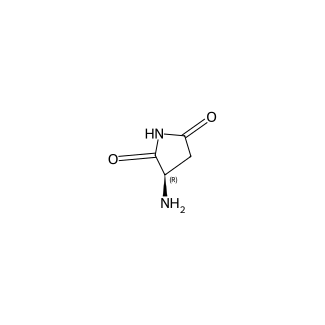 N[C@@H]1CC(=O)NC1=O